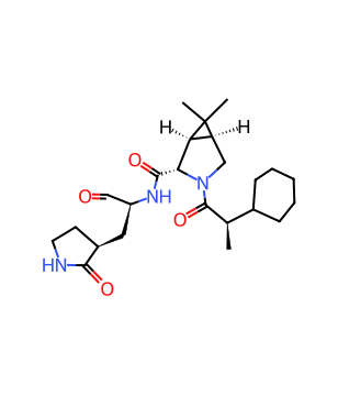 C[C@@H](C(=O)N1C[C@H]2[C@@H]([C@H]1C(=O)N[C@H](C=O)C[C@@H]1CCNC1=O)C2(C)C)C1CCCCC1